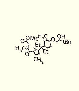 CCC(CC)(c1ccc(OCC(O)C(C)(C)C)c(C)c1)c1cc(C)c(C(=O)N(C)CC(=O)OC)s1